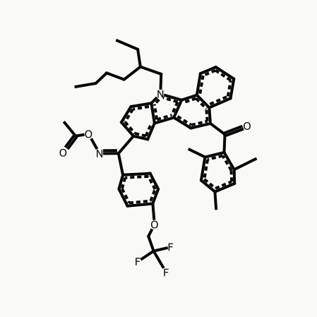 CCCCC(CC)Cn1c2ccc(/C(=N\OC(C)=O)c3ccc(OCC(F)(F)F)cc3)cc2c2cc(C(=O)c3c(C)cc(C)cc3C)c3ccccc3c21